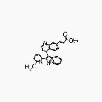 Cc1cccc(-c2nn3ccccc3c2-c2ccnc3cc(/C=C/C(=O)O)ccc23)n1